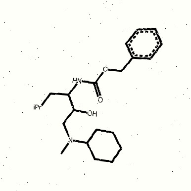 CC(C)CC(NC(=O)OCc1ccccc1)C(O)CN(C)C1CCCCC1